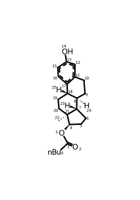 CCCCC(=O)O[C@@H]1CC[C@H]2[C@@H]3CCc4cc(O)ccc4[C@H]3CC[C@]12C